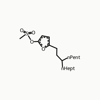 CCCCCCCC(CCCCC)CCc1ccc(OS(C)(=O)=O)o1